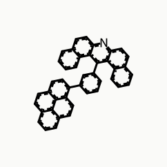 c1cc(-c2ccc3ccc4cccc5ccc2c3c45)cc(-c2c3c(ccc4ccccc43)nc3ccc4ccccc4c23)c1